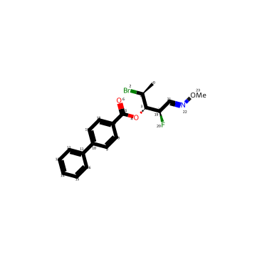 [CH2][C@H](Br)[C@@H](OC(=O)c1ccc(-c2ccccc2)cc1)[C@H](F)/C=N/OC